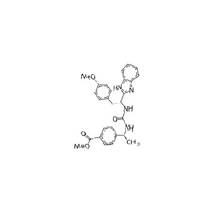 COC(=O)c1ccc([C@H](C)NC(=O)N[C@H](Cc2ccc(OC)cc2)c2nc3ccccc3[nH]2)cc1